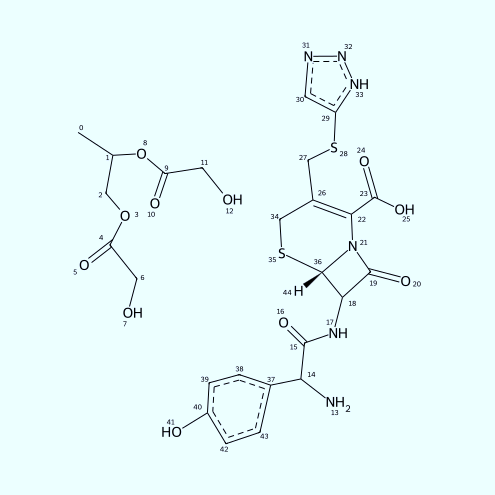 CC(COC(=O)CO)OC(=O)CO.NC(C(=O)NC1C(=O)N2C(C(=O)O)=C(CSc3cnn[nH]3)CS[C@@H]12)c1ccc(O)cc1